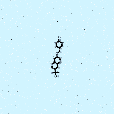 CC(C)(O)c1cnc2cc(OCc3ccc(F)cc3)cnc2c1